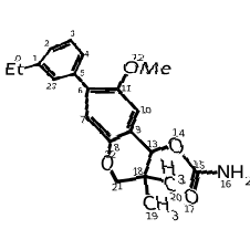 CCc1cccc(-c2cc3c(cc2OC)C(OC(N)=O)C(C)(C)CO3)c1